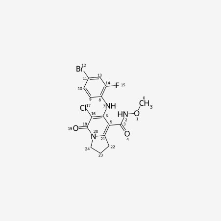 CONC(=O)c1c(Nc2ccc(Br)cc2F)c(Cl)c(=O)n2c1CCC2